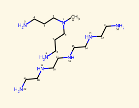 CN(CCCN)CCCN.NCCNCCNCCNCCN